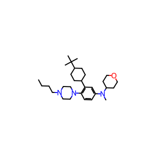 CCCCN1CCN(c2ccc(N(C)C3CCOCC3)cc2C2CCC(C(C)(C)C)CC2)CC1